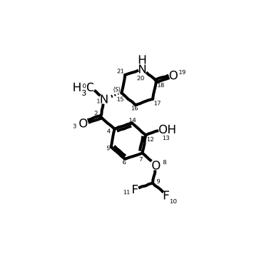 CN(C(=O)c1ccc(OC(F)F)c(O)c1)[C@H]1CCC(=O)NC1